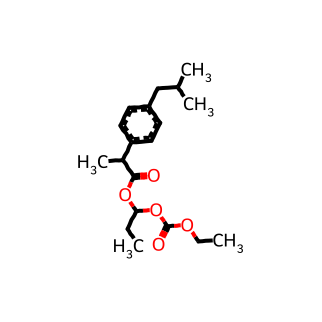 CCOC(=O)OC(CC)OC(=O)C(C)c1ccc(CC(C)C)cc1